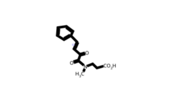 CN(CCC(=O)O)C(=O)C(=O)/C=C/c1ccccc1